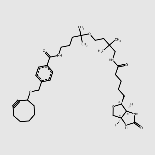 CC(C)(CCOC(C)(C)CCCNC(=O)c1ccc(COC2C#CCCCCC2)cc1)CNC(=O)CCCC[C@@H]1SC[C@@H]2NC(=O)N[C@@H]21